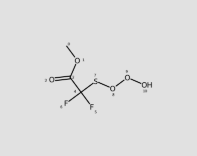 COC(=O)C(F)(F)SOOO